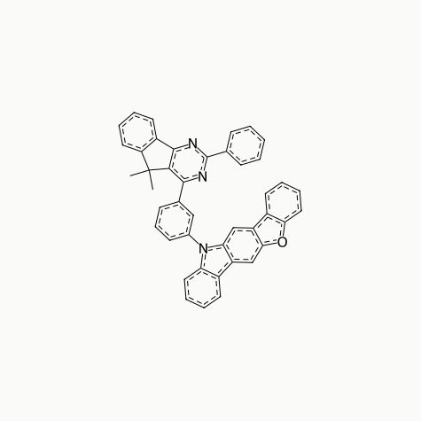 CC1(C)c2ccccc2-c2nc(-c3ccccc3)nc(-c3cccc(-n4c5ccccc5c5cc6oc7ccccc7c6cc54)c3)c21